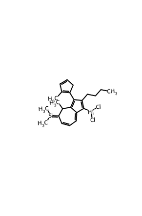 CCCCC1=[C]([Hf]([Cl])[Cl])C2=CC=CC(=[Si](C)C)C(C)C2=C1C1=C(C)C=CC1